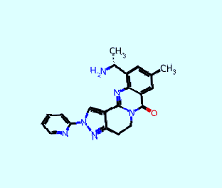 Cc1cc([C@@H](C)N)c2nc3n(c(=O)c2c1)CCc1nn(-c2ccccn2)cc1-3